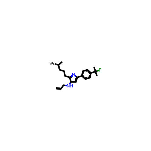 C=CCNC1C=C(c2ccc(C(C)(C)F)cc2)N=C1CCCC(C)C(C)C